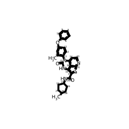 Cc1cc(Oc2ccccc2)ccc1N1C(=O)Nc2c(C(=O)NC3CCC(C)CC3)sc3nccc1c23